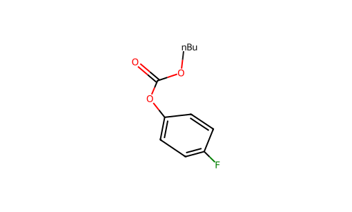 CCCCOC(=O)Oc1ccc(F)cc1